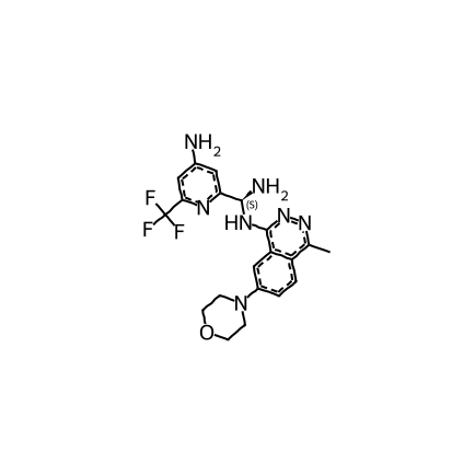 Cc1nnc(N[C@H](N)c2cc(N)cc(C(F)(F)F)n2)c2cc(N3CCOCC3)ccc12